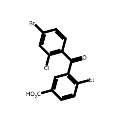 CCc1ccc(C(=O)O)cc1C(=O)c1ccc(Br)cc1Cl